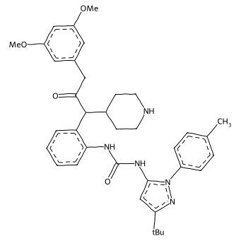 COc1cc(CC(=O)C(c2ccccc2NC(=O)Nc2cc(C(C)(C)C)nn2-c2ccc(C)cc2)C2CCNCC2)cc(OC)c1